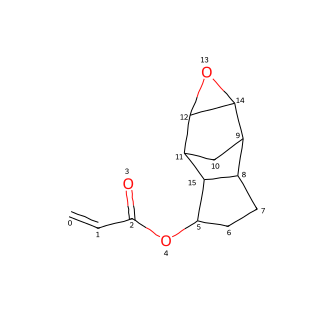 C=CC(=O)OC1CCC2C3CC(C4OC34)C12